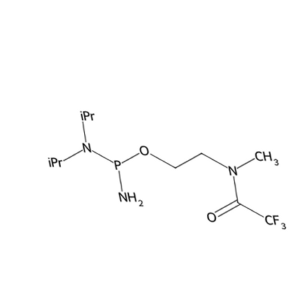 CC(C)N(C(C)C)P(N)OCCN(C)C(=O)C(F)(F)F